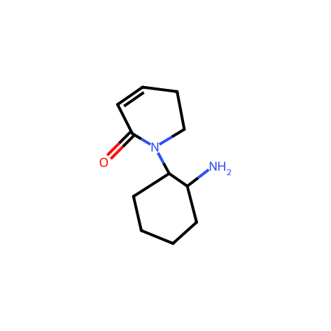 NC1CCCCC1N1CCC=CC1=O